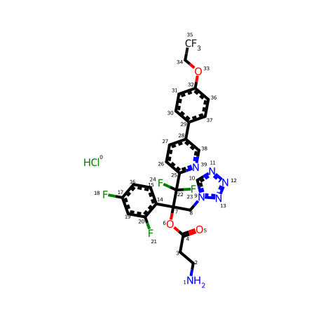 Cl.NCCC(=O)OC(Cn1cnnn1)(c1ccc(F)cc1F)C(F)(F)c1ccc(-c2ccc(OCC(F)(F)F)cc2)cn1